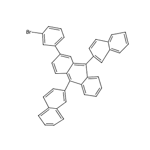 Brc1cccc(-c2ccc3c(-c4ccc5ccccc5c4)c4ccccc4c(-c4ccc5ccccc5c4)c3c2)c1